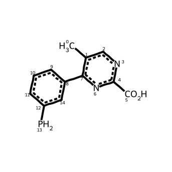 Cc1cnc(C(=O)O)nc1-c1cccc(P)c1